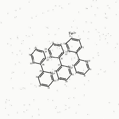 [Fe+2].c1ccc(-c2ccccn2)nc1.c1ccc(-c2ccccn2)nc1.c1ccc(-c2ccccn2)nc1